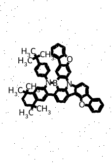 CC(C)(C)c1ccc(N2B3c4cc5c(cc4-n4c6ccc7c8ccccc8oc7c6c6ccc(c3c64)-c3cc4c(cc32)C(C)(C)CCC4(C)C)oc2ccccc25)cc1